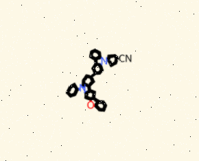 N#Cc1ccc(-n2c3ccccc3c3cc(-c4ccc5c(c4)c4cc6c(cc4n5-c4ccccc4)oc4ccccc46)ccc32)cc1